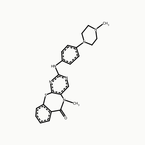 CN1CCN(c2ccc(Nc3ncc4c(n3)Sc3ccccc3C(=O)N4C)cc2)CC1